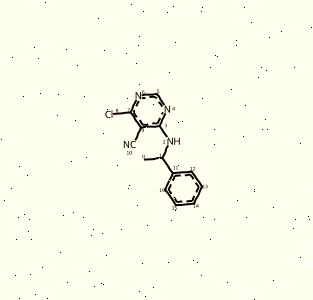 CC(Nc1ncnc(Cl)c1C#N)c1ccccc1